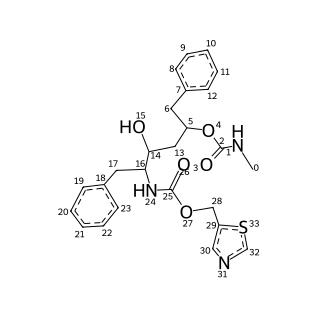 CNC(=O)OC(Cc1ccccc1)CC(O)C(Cc1ccccc1)NC(=O)OCc1cncs1